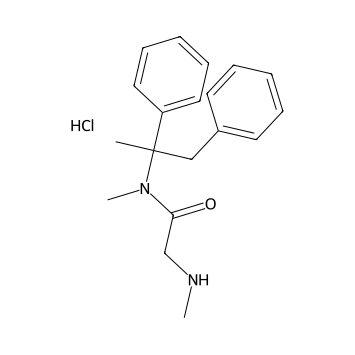 CNCC(=O)N(C)C(C)(Cc1ccccc1)c1ccccc1.Cl